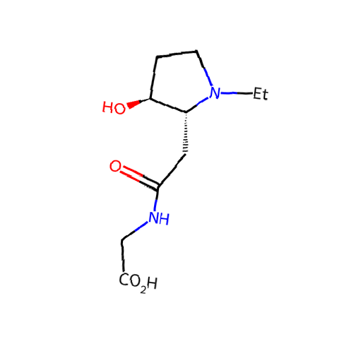 CCN1CC[C@H](O)[C@H]1CC(=O)NCC(=O)O